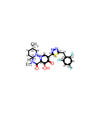 CCN1C(=O)c2c(O)c(=O)c(-c3nnc(Cc4c(F)cc(F)cc4F)s3)cn2N2C[C@@H](C)CC[C@@H]12